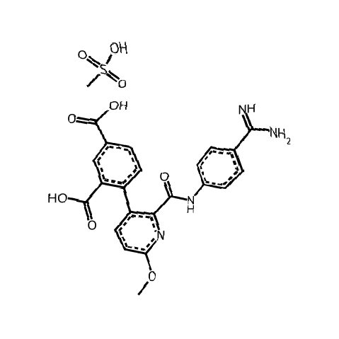 COc1ccc(-c2ccc(C(=O)O)cc2C(=O)O)c(C(=O)Nc2ccc(C(=N)N)cc2)n1.CS(=O)(=O)O